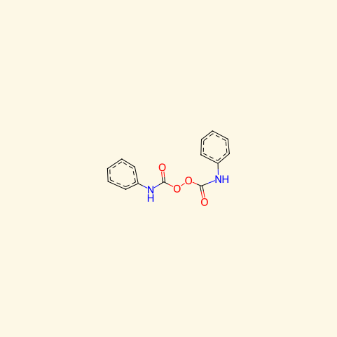 O=C(Nc1ccccc1)OOC(=O)Nc1ccccc1